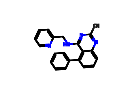 N#Cc1nc(NCc2ccccn2)c2c(-c3ccccc3)cccc2n1